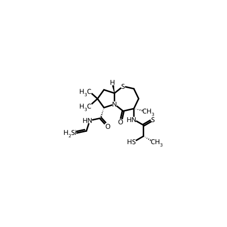 C[C@H](S)C(=S)N[C@]1(C)CCS[C@H]2CC(C)(C)[C@@H](C(=O)NC=[SiH2])N2C1=O